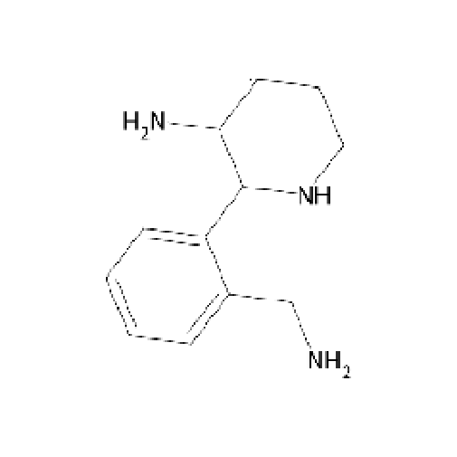 NCc1ccccc1C1NCC[CH]C1N